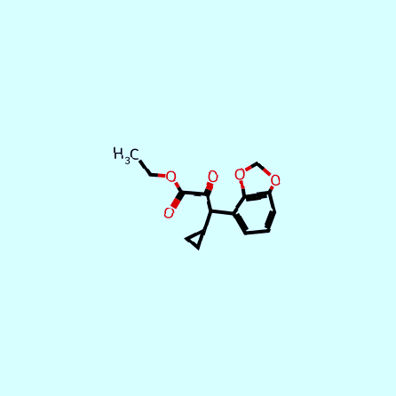 CCOC(=O)C(=O)C(c1cccc2c1OCO2)C1CC1